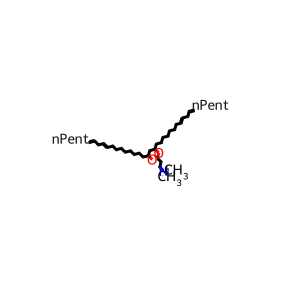 CCCCCC=CCC=CCCCCCCCCC1CC(CCCCCCCC=CCC=CCCCCC)OC(CCN(C)C)O1